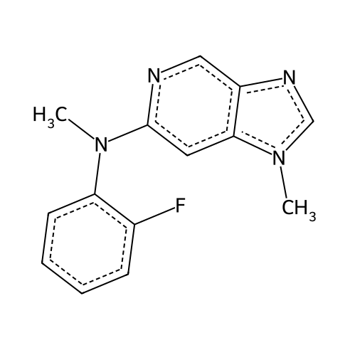 CN(c1cc2c(cn1)ncn2C)c1ccccc1F